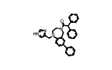 O=C(C(c1ccccc1)c1ccccc1)N1CCN(Cc2c[nH]cn2)c2ccc(-c3ccccc3)cc2C1